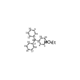 CCO.c1ccc(P(c2ccccc2)c2ccccc2)cc1